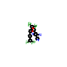 N#Cc1cc(-c2ccccc2)c(-n2c3cc(-c4cc(C(F)(F)F)cc(C(F)(F)F)c4)ccc3c3ccc(-c4cc(C(F)(F)F)cc(C(F)(F)F)c4)cc32)cc1-c1ccncc1